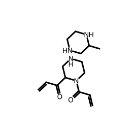 C=CC(=O)C1CNCCN1C(=O)C=C.CC1CNCCN1